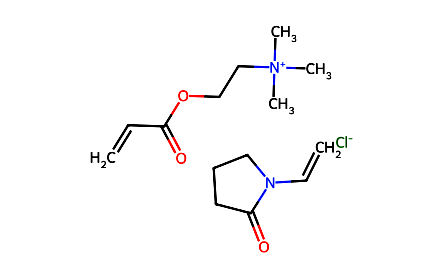 C=CC(=O)OCC[N+](C)(C)C.C=CN1CCCC1=O.[Cl-]